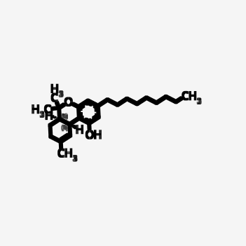 CCCCCCCCCc1cc(O)c2c(c1)OC(C)(C)[C@@H]1CCC(C)=C[C@@H]21